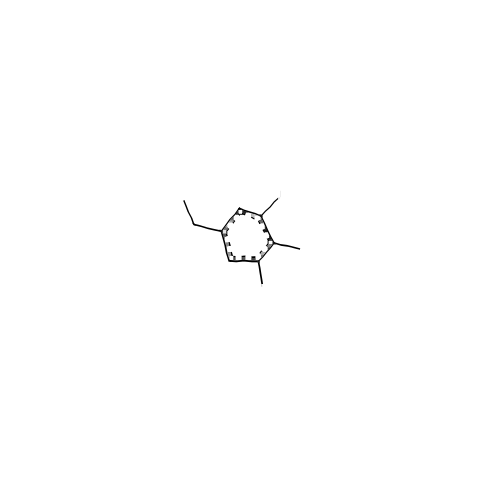 CCc1cc(F)c(C)c(F)c1